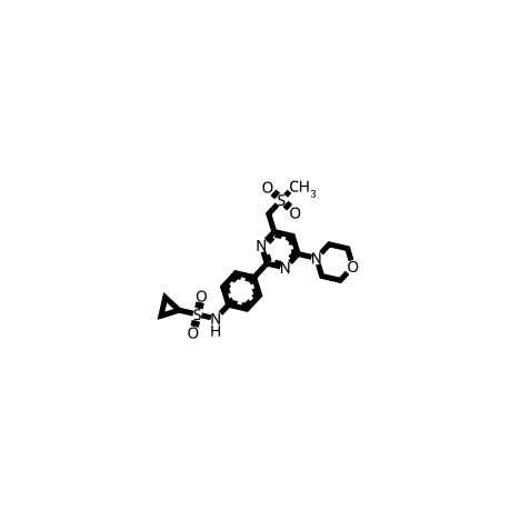 CS(=O)(=O)Cc1cc(N2CCOCC2)nc(-c2ccc(NS(=O)(=O)C3CC3)cc2)n1